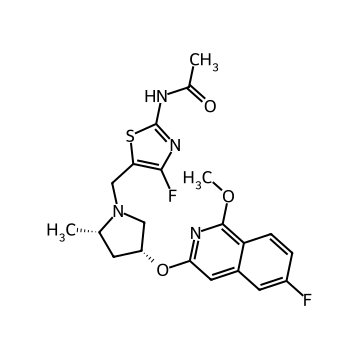 COc1nc(O[C@@H]2C[C@H](C)N(Cc3sc(NC(C)=O)nc3F)C2)cc2cc(F)ccc12